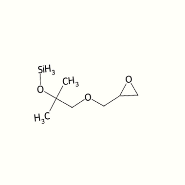 CC(C)(COCC1CO1)O[SiH3]